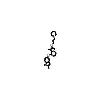 Cc1cc2cc(Oc3ncnn4cc(OCCCN5CCCCC5)c(C)c34)ccc2[nH]1